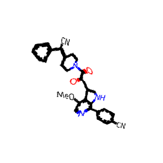 COc1cnc(-c2ccc(C#N)cc2)c2c1C(C(=O)C(=O)N1CCC(=C(C#N)c3ccccc3)CC1)CN2